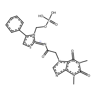 Cn1c(=O)c2c(ncn2CC(=O)/N=c2\scc(-c3ccccc3)n2COP(=O)(O)O)n(C)c1=O